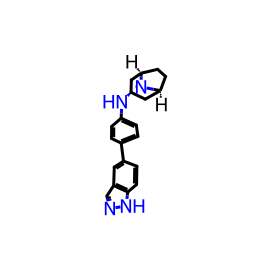 CN1[C@@H]2CC[C@H]1C[C@@H](Nc1ccc(-c3ccc4[nH]ncc4c3)cc1)C2